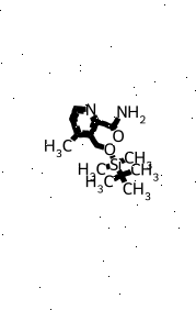 Cc1ccnc(C(N)=O)c1CO[Si](C)(C)C(C)(C)C